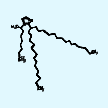 CCCCCCCCCCCCCCCC(CCCCCCCCCCCCCC)c1nccn1C(C)CCCCCCC